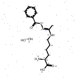 C/C(=N\OC(=O)c1ccccc1)NCCCC[C@H](N)C(=O)O.Cl.Cl